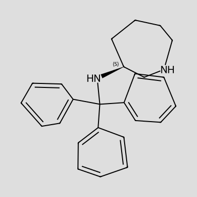 c1ccc(C(N[C@H]2CCCCNC2)(c2ccccc2)c2ccccc2)cc1